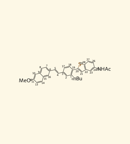 CCCCc1cc(C=Cc2ccc3cc(OC)ccc3c2)ccc1-c1cc2cc(NC(C)=O)ccc2s1